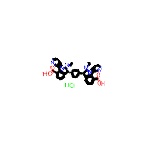 CCN=C1C(c2ccc([C@H]3CCN(c4c5ccnc4C(c4ccccc4C(=O)O)C5)C3=NCC)cc2)CCN1c1c2ccnc1C(c1ccccc1C(=O)O)C2.Cl